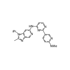 CNc1ccc(-c2nccc(Nc3cc4c(cn3)nc(C)n4C(C)C)n2)cn1